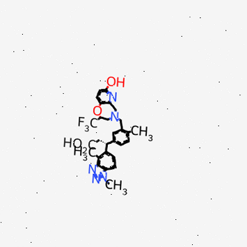 Cc1ccc([C@@H](CC(=O)O)c2ccc3c(nnn3C)c2C)cc1CN1Cc2nc(O)ccc2OC(C(F)(F)F)C1